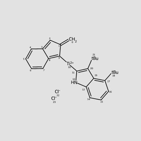 C=C1C=c2ccccc2=[C]1[Ti+2][c]1[nH]c2cccc(C(C)(C)C)c2c1C(C)(C)C.[Cl-].[Cl-]